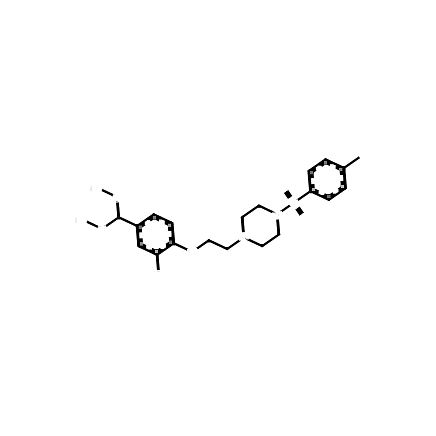 Cc1ccc(S(=O)(=O)N2CCN(CCOc3ccc(C(SC(C)C)SC(C)C)cc3Cl)CC2)cc1